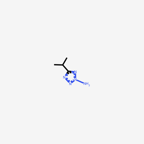 CC(C)c1nnn(N)n1